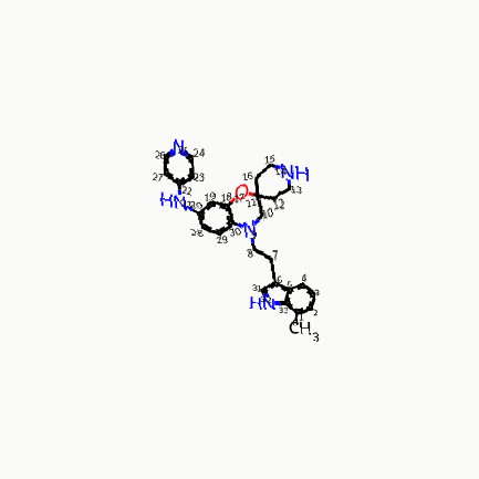 Cc1cccc2c(CCN3CC4(CCNCC4)Oc4cc(Nc5ccncc5)ccc43)c[nH]c12